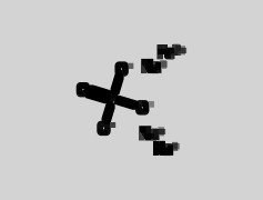 O=P([O-])([O-])[O-].[Fe+2].[Na+].[Na+].[Na+]